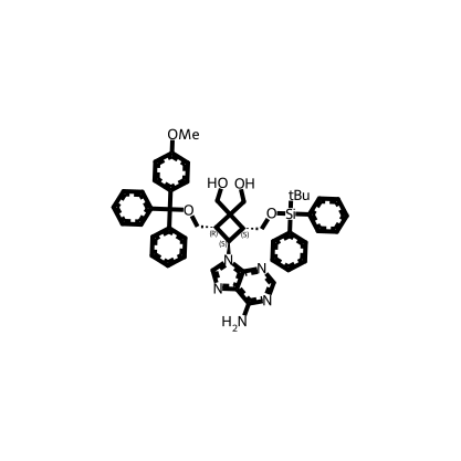 COc1ccc(C(OC[C@H]2[C@H](n3cnc4c(N)ncnc43)[C@@H](CO[Si](c3ccccc3)(c3ccccc3)C(C)(C)C)C2(CO)CO)(c2ccccc2)c2ccccc2)cc1